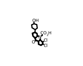 O=C(O)Cn1c2cc(C3CCC(O)CC3)ccc2c(=O)c2ccc(Cl)c(Cl)c21